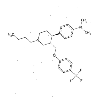 CCCCN1CC[C@@H](c2ccc(N(C)C)cc2)[C@H](COc2ccc(C(F)(F)F)cc2)C1